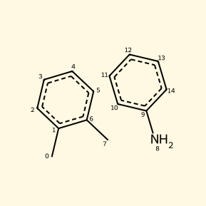 Cc1ccccc1C.Nc1ccccc1